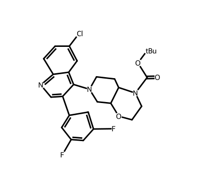 CC(C)(C)OC(=O)N1CCOC2CN(c3c(-c4cc(F)cc(F)c4)cnc4ccc(Cl)cc34)CCC21